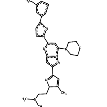 CC1=CC(c2cc3nc(-n4ccc(-c5cccc(C)c5)n4)cc(N4CCOCC4)n3n2)=NC1CCN(C)C